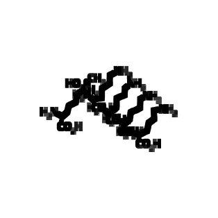 CC(=O)O.NCCCC[C@H](N)C(=O)O.NCCCC[C@H](N)C(=O)O.NCCCC[C@H](N)C(=O)O.NCCCC[C@H](N)C(=O)O.NCCCC[C@H](N)C(=O)O